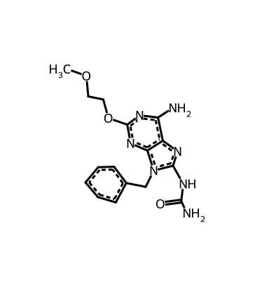 COCCOc1nc(N)c2nc(NC(N)=O)n(Cc3ccccc3)c2n1